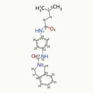 CC(C)CCC(=O)Nc1ccc(NC(=O)N2CCc3ccccc3C2)cc1